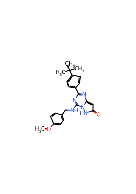 COc1ccc(CNc2nc(-c3ccc(C(C)(C)C)cc3)nc3cc(=O)[nH]n23)cc1